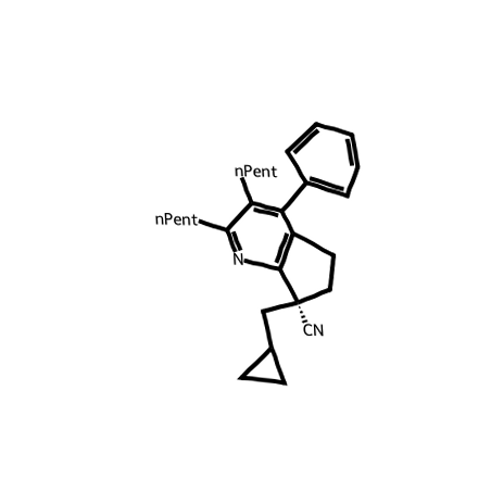 CCCCCc1nc2c(c(-c3ccccc3)c1CCCCC)CC[C@@]2(C#N)CC1CC1